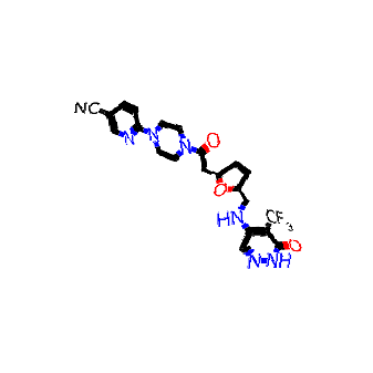 N#Cc1ccc(N2CCN(C(=O)C[C@H]3CC[C@@H](CNc4cn[nH]c(=O)c4C(F)(F)F)O3)CC2)nc1